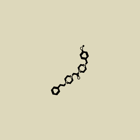 COc1ccc(CN2CCN(C(=O)CN3CCN(CCc4ccccc4)CC3)CC2)cc1